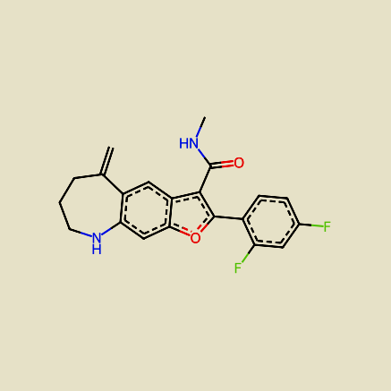 C=C1CCCNc2cc3oc(-c4ccc(F)cc4F)c(C(=O)NC)c3cc21